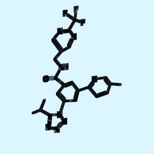 Cc1ccc(-c2cc(C(=O)NCc3cnc(C(F)(F)F)nc3)cc(-n3nnnc3C(C)C)c2)nc1